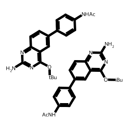 CC(=O)Nc1ccc(-c2ccc3nc(N)nc(OC(C)(C)C)c3c2)cc1.CCC(C)Oc1nc(N)nc2ccc(-c3ccc(NC(C)=O)cc3)cc12